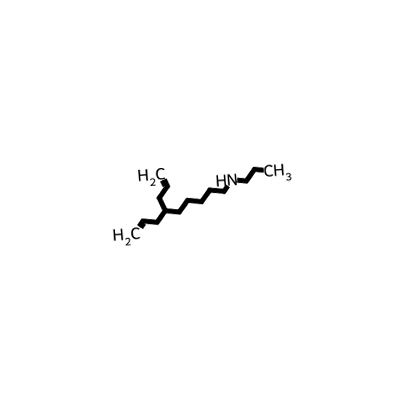 C=CCC(CC=C)CCCCCNCCC